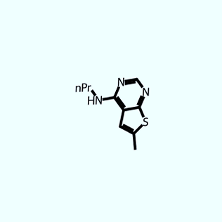 CCCNc1ncnc2sc(C)cc12